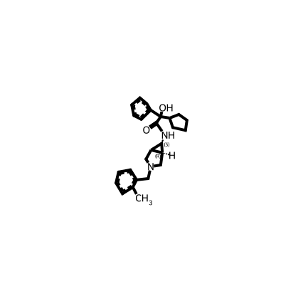 Cc1ccccc1CN1CC2[C@H](C1)[C@H]2NC(=O)C(O)(c1ccccc1)C1CCCC1